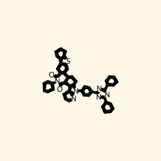 O=c1c2cc3c(cc2c2ccc4c(c5cccnc5n4-c4ccc(-c5nc(-c6ccccc6)nc(-c6ccccc6)n5)cc4)c2c(=O)n1-c1ccccc1)sc1ccccc13